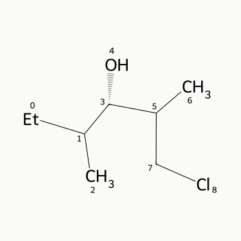 CCC(C)[C@H](O)C(C)CCl